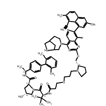 C#Cc1c(C)ccc2cc(O)cc(-c3ncc4c(N5CCC6CNC(C6)C5)nc(OC[C@@H]5CCCN5CCCOCCC(=O)N[C@H](C(=O)N5C[C@H](O)C[C@H]5C(=O)N[C@@H](C)c5ccc(-c6c(C)cccc6C)cc5)C(C)(C)C)nc4c3F)c12